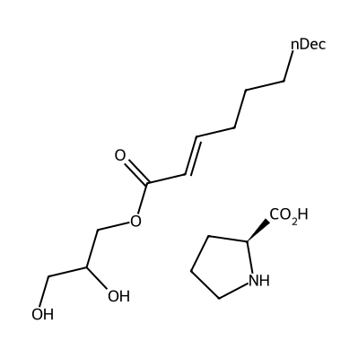 CCCCCCCCCCCCCC=CC(=O)OCC(O)CO.O=C(O)[C@@H]1CCCN1